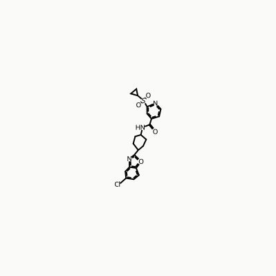 O=C(NC1CCC(c2nc3cc(Cl)ccc3o2)CC1)c1ccnc(S(=O)(=O)C2CC2)c1